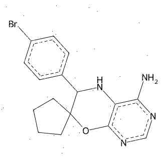 Nc1ncnc2c1NC(c1ccc(Br)cc1)C1(CCCC1)O2